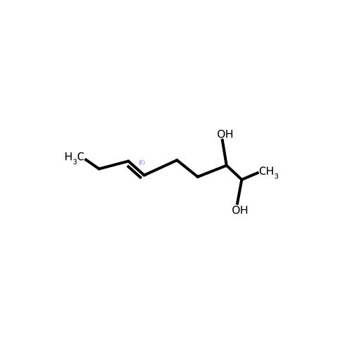 CC/C=C/CCC(O)C(C)O